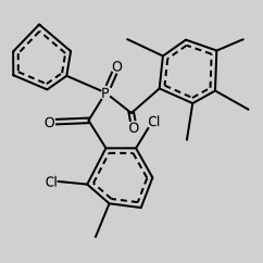 Cc1cc(C)c(C(=O)P(=O)(C(=O)c2c(Cl)ccc(C)c2Cl)c2ccccc2)c(C)c1C